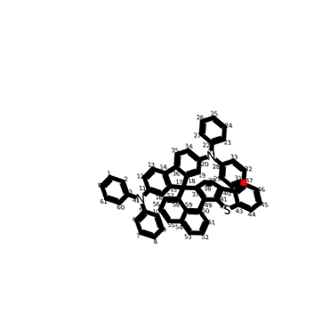 c1ccc(N(c2ccccc2)c2ccc3c(c2)C2(c4cc(N(c5ccccc5)c5ccccc5)ccc4-3)c3ccc4c(sc5ccccc54)c3-c3cccc4cccc2c34)cc1